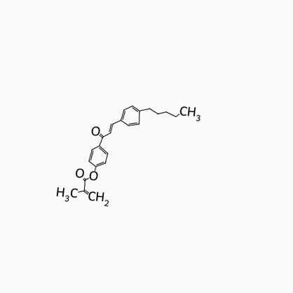 C=C(C)C(=O)Oc1ccc(C(=O)C=Cc2ccc(CCCCC)cc2)cc1